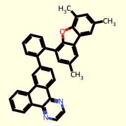 Cc1cc(C)c2oc3c(-c4ccccc4-c4ccc5c(c4)c4ccccc4c4nccnc54)cc(C)cc3c2c1